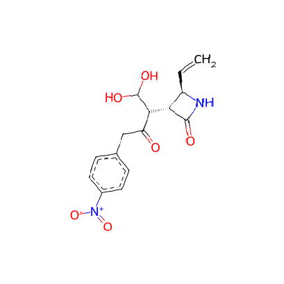 C=C[C@H]1NC(=O)[C@@H]1C(C(=O)Cc1ccc([N+](=O)[O-])cc1)C(O)O